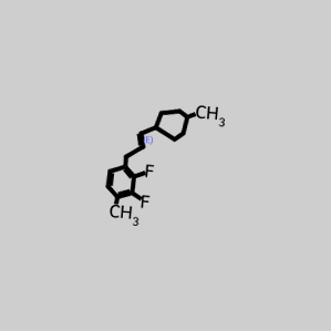 Cc1ccc(C/C=C/C2CCC(C)CC2)c(F)c1F